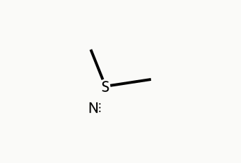 CSC.[N]